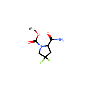 CC(C)(C)OC(=O)N1CC(F)(F)CC1C(N)=O